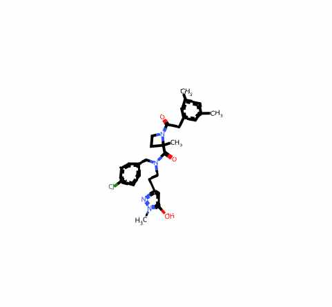 Cc1cc(C)cc(CC(=O)N2CCC2(C)C(=O)N(CCc2cc(O)n(C)n2)Cc2ccc(Cl)cc2)c1